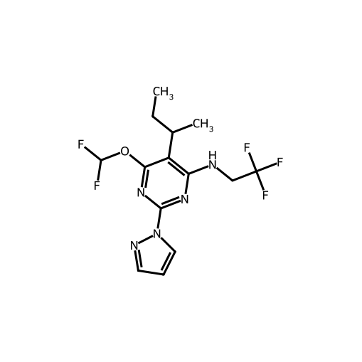 CCC(C)c1c(NCC(F)(F)F)nc(-n2cccn2)nc1OC(F)F